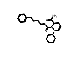 NC(=O)C1=CC=CN(C2CCCCC2)N1C(=O)OCCCCc1ccccc1